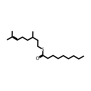 CCCCCCCCC(=O)SCCC(C)CCC=C(C)C